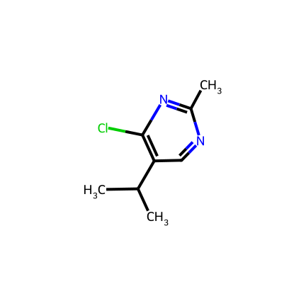 Cc1ncc(C(C)C)c(Cl)n1